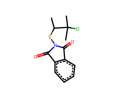 CC(SN1C(=O)c2ccccc2C1=O)C(C)(C)Cl